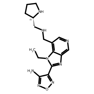 CCn1c(-c2nonc2N)nc2cncc(CNC[C@@H]3CCCN3)c21